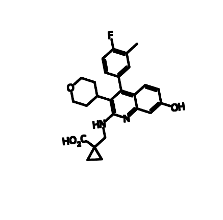 Cc1cc(-c2c(C3CCOCC3)c(NCC3(C(=O)O)CC3)nc3cc(O)ccc23)ccc1F